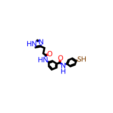 O=C(CCc1c[nH]cn1)Nc1cccc(C(=O)Nc2ccc(S)cc2)c1